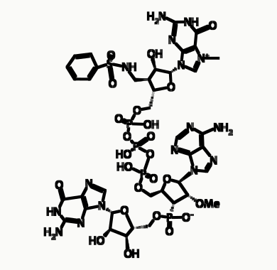 CO[C@@H]1[C@H](P(=O)([O-])OC[C@H]2O[C@@H](n3cnc4c(=O)[nH]c(N)nc43)[C@H](O)[C@@H]2O)[C@@H](COP(=O)(O)OP(=O)(O)OP(=O)(O)OC[C@H]2O[C@@H](n3c[n+](C)c4c(=O)[nH]c(N)nc43)[C@H](O)[C@@H]2CNS(=O)(=O)c2ccccc2)O[C@H]1n1cnc2c(N)ncnc21